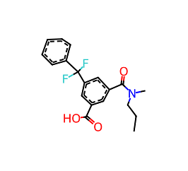 CCCN(C)C(=O)c1cc(C(=O)O)cc(C(F)(F)c2ccccc2)c1